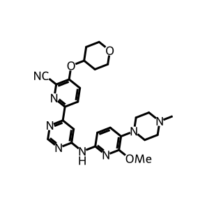 COc1nc(Nc2cc(-c3ccc(OC4CCOCC4)c(C#N)n3)ncn2)ccc1N1CCN(C)CC1